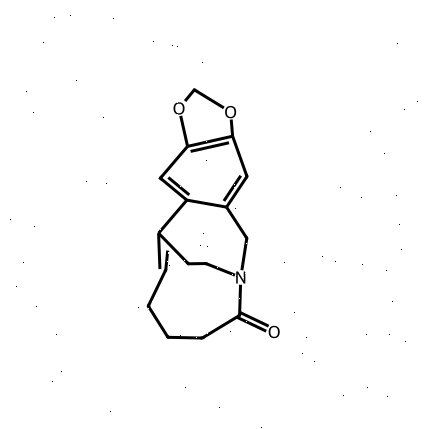 O=C1CCC/C=C2/CCN1Cc1cc3c(cc12)OCO3